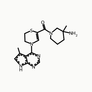 Cc1c[nH]c2ncnc(N3C=C(C(=O)N4CCCC(C)(N)C4)SCC3)c12